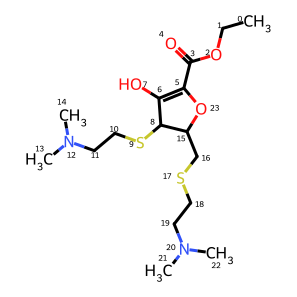 CCOC(=O)C1=C(O)C(SCCN(C)C)C(CSCCN(C)C)O1